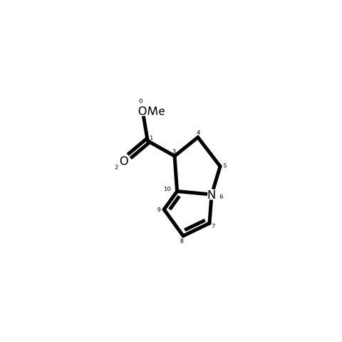 COC(=O)C1CCn2cccc21